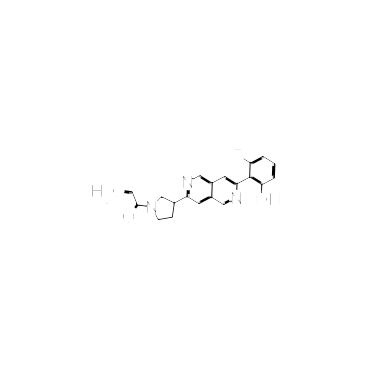 C=CC(=O)N1CCC(c2cc3cnc(-c4c(O)cccc4F)cc3cn2)C1